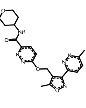 Cc1ccc(-c2noc(C)c2COc2ccc(C(=O)NC3CCOCC3)nn2)nn1